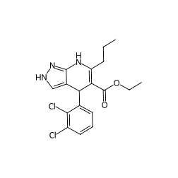 CCCC1=C(C(=O)OCC)C(c2cccc(Cl)c2Cl)c2c[nH]nc2N1